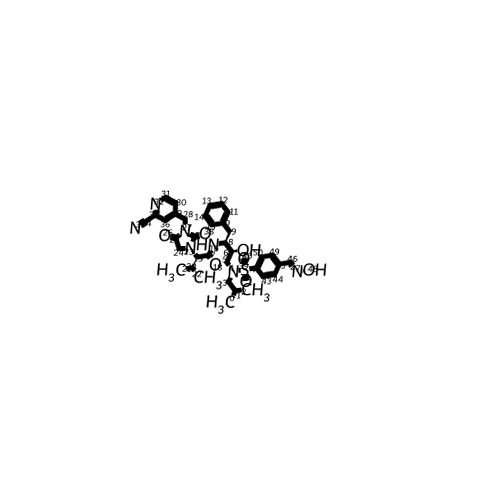 CC(C)CN(C[C@H](O)[C@H](Cc1ccccc1)NC(=O)[C@H](C(C)C)N1CC(=O)N(Cc2ccnc(C#N)c2)C1=O)S(=O)(=O)c1ccc(C=NO)cc1